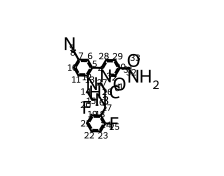 COc1nc(-c2cc(C#N)ccc2N2CCN(Cc3c(F)cccc3F)CC2)ccc1C(N)=O